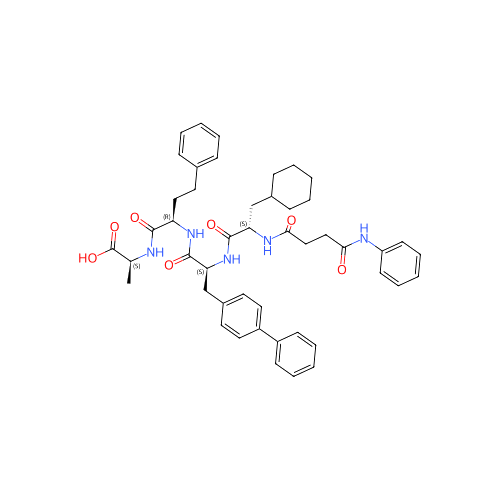 C[C@H](NC(=O)[C@@H](CCc1ccccc1)NC(=O)[C@H](Cc1ccc(-c2ccccc2)cc1)NC(=O)[C@H](CC1CCCCC1)NC(=O)CCC(=O)Nc1ccccc1)C(=O)O